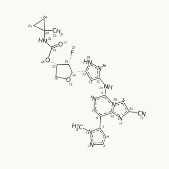 Cn1nccc1-c1cnc(Nc2cc([C@@H]3OC[C@H](OC(=O)NC4(C)CC4)[C@@H]3F)[nH]n2)n2cc(C#N)nc12